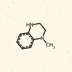 CN1CCNc2ccccc21